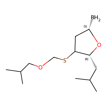 B[C@H]1CC(SCOCC(C)C)[C@@H](CC(C)C)O1